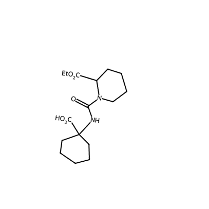 CCOC(=O)C1CCCCN1C(=O)NC1(C(=O)O)CCCCC1